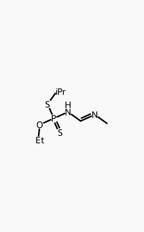 CCOP(=S)(NC=NC)SC(C)C